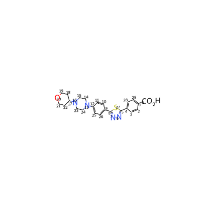 O=C(O)c1ccc(-c2nnc(-c3ccc(N4CCN(C5CCOCC5)CC4)cc3)s2)cc1